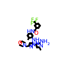 Cc1cc(-n2nc(CN3CCOCC3)cc2Nc2cc(NC(=O)c3cccc(C(F)(F)F)c3)ccc2C)nc(N)n1